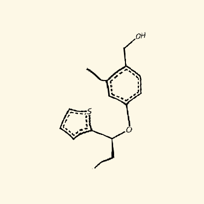 [CH2]C[C@H](Oc1ccc(CO)c(C)c1)c1cccs1